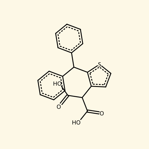 O=C(O)C(C(=O)O)c1ccsc1C(c1ccccc1)c1ccccc1